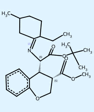 CCC1CCC(C)C/C1=N/[C@H](C(=O)OC(C)(C)C)C1c2ccccc2OC[C@H]1C(=O)OC